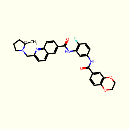 C[C@@H]1CCCN1Cc1ccc2cc(C(=O)Nc3cc(NC(=O)c4ccc5c(c4)OCCO5)ccc3F)ccc2n1